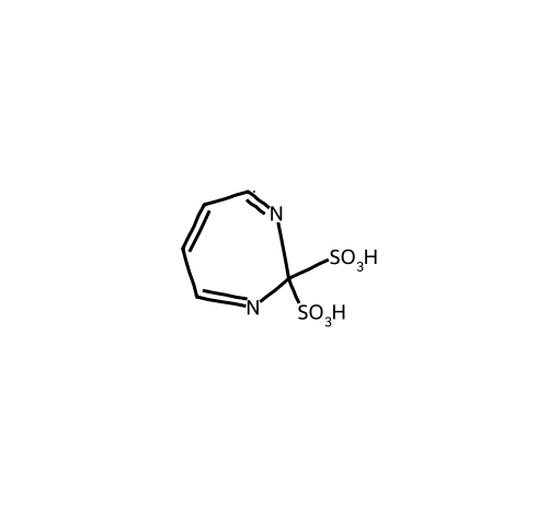 O=S(=O)(O)C1(S(=O)(=O)O)N=[C]C=CC=N1